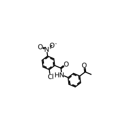 CC(=O)c1cccc(NC(=O)c2cc([N+](=O)[O-])ccc2Cl)c1